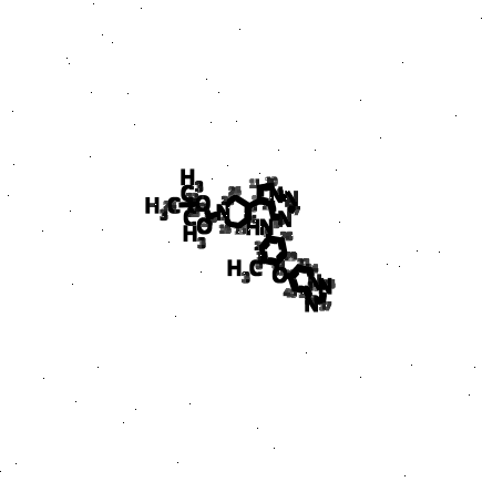 Cc1cc(Nc2ncnn3ccc(C4=CCCN(C(=O)OC(C)(C)C)CC4)c23)ccc1Oc1ccn2ncnc2c1